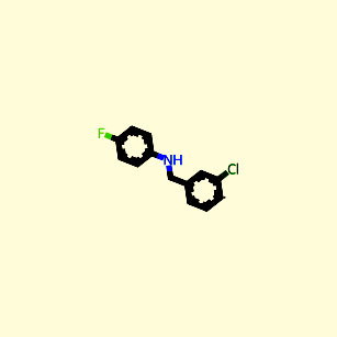 Fc1ccc(NCc2cc[c]c(Cl)c2)cc1